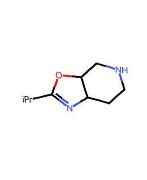 CC(C)C1=NC2CCNCC2O1